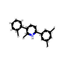 Cc1cc(C)cc(-c2ccc(-c3ccccc3C)c(C)n2)c1